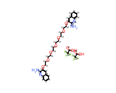 Nc1nc2ccccc2cc1OCCOCCOCCOCCOCCOCCOc1cc2ccccc2nc1N.O=C(O)C(F)(F)F.O=C(O)C(F)(F)F